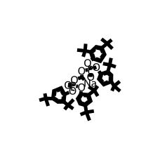 CC(C)(C)c1ccc(OP(=O)(Oc2ccc(C(C)(C)C)cc2C(C)(C)C)O[CH]([Na])OP(=O)(Oc2ccc(C(C)(C)C)cc2C(C)(C)C)Oc2ccc(C(C)(C)C)cc2C(C)(C)C)c(C(C)(C)C)c1